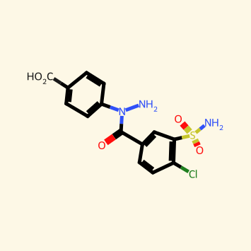 NN(C(=O)c1ccc(Cl)c(S(N)(=O)=O)c1)c1ccc(C(=O)O)cc1